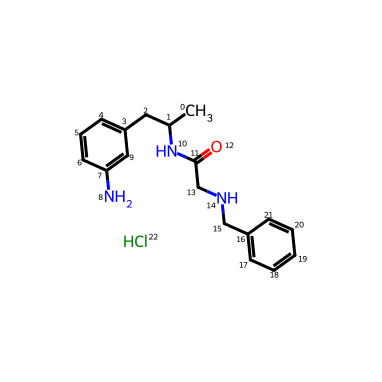 CC(Cc1cccc(N)c1)NC(=O)CNCc1ccccc1.Cl